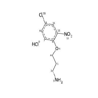 Cl.NCCCOc1ccc(Cl)cc1[N+](=O)[O-]